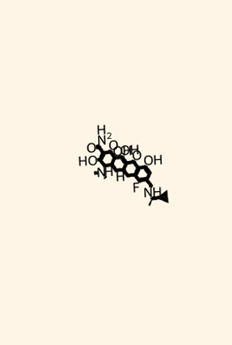 C[C@@H](NCc1cc(O)c2c(c1F)C[C@H]1C[C@H]3[C@H](N(C)C)C(O)=C(C(N)=O)C(=O)[C@@]3(O)C(O)=C1C2=O)C1CC1